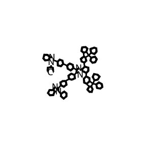 c1ccc(-n2c(-c3ccc(-c4ccc(-c5nc6c(-c7ccc8c(c7)C(c7ccccc7)(c7ccccc7)c7ccccc7-8)ccc(-c7ccc8c(c7)C(c7ccccc7)(c7ccccc7)c7ccccc7-8)c6nc5-c5ccc(-c6ccc(-c7nc8ccccc8n7-c7ccccc7)cc6)cc5)cc4)cc3)nc3ccccc32)cc1